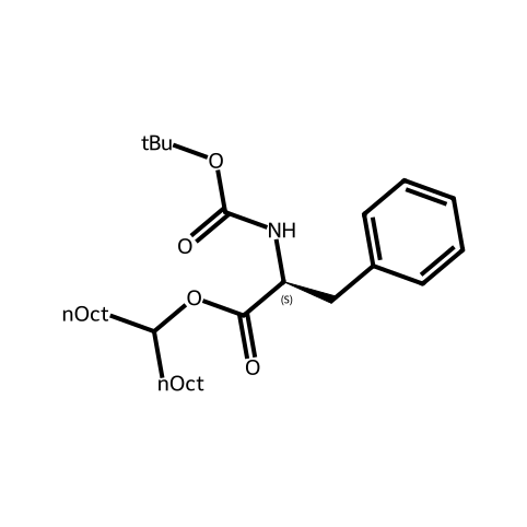 CCCCCCCCC(CCCCCCCC)OC(=O)[C@H](Cc1ccccc1)NC(=O)OC(C)(C)C